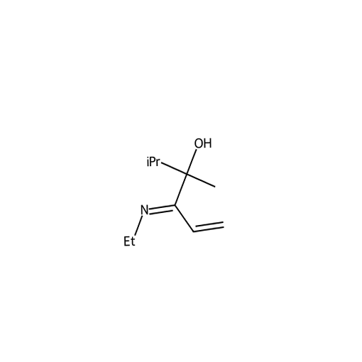 C=C/C(=N\CC)C(C)(O)C(C)C